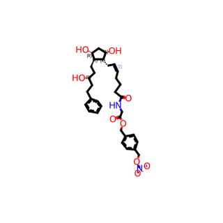 O=C(CCC/C=C\C[C@@H]1[C@@H](CC[C@@H](O)CCc2ccccc2)[C@H](O)C[C@@H]1O)NCC(=O)OCc1ccc(CO[N+](=O)[O-])cc1